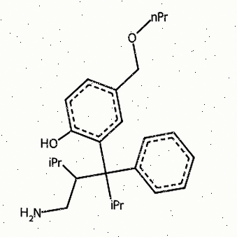 CCCOCc1ccc(O)c(C(c2ccccc2)(C(C)C)C(CN)C(C)C)c1